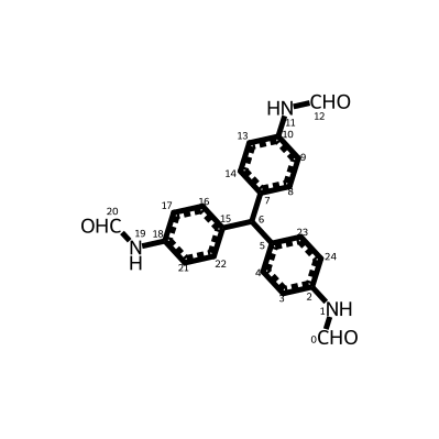 O=CNc1ccc(C(c2ccc(NC=O)cc2)c2ccc(NC=O)cc2)cc1